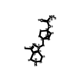 Cc1nn(CC23CCC(OC(N)=O)(CC2)C3)c2c1CNCC2